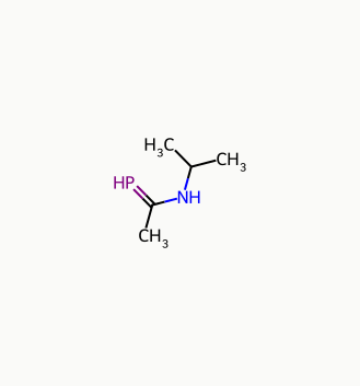 CC(=P)NC(C)C